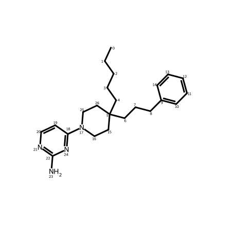 CCCCCC1(CCCc2ccccc2)CCN(c2ccnc(N)n2)CC1